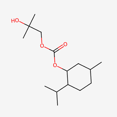 CC1CCC(C(C)C)C(OC(=O)OCC(C)(C)O)C1